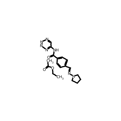 CCOC(C)=O.O=C(Nc1cnnnn1)c1ccc(C=NN2CCCC2)cc1